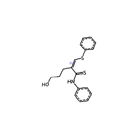 OCCC/C(=C/Sc1ccccc1)C(=S)Nc1ccccc1